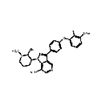 COc1cccc(Oc2ccc(-c3nn(C4CCCN(C(=O)O)C4C(C)(C)C)c4c(OC)cncc34)cc2)c1F